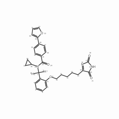 [2H]C([2H])(c1ccccc1OCCCCCC1=NC(=O)NC1=O)N(C(=O)c1ccc(-c2ccco2)cc1)C1CC1